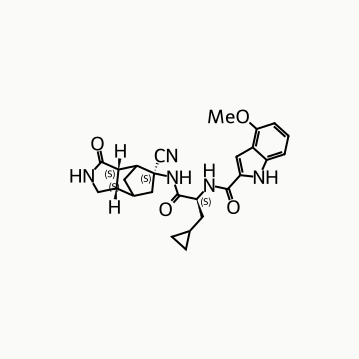 COc1cccc2[nH]c(C(=O)N[C@@H](CC3CC3)C(=O)N[C@@]3(C#N)CC4CC3[C@H]3C(=O)NC[C@@H]43)cc12